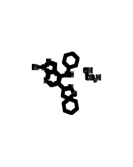 CCn1ncc2c(NC3CCCCC3)c(C3=NOC4(CCCCC4)C3)cnc21.O=C(O)O